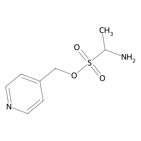 CC(N)S(=O)(=O)OCc1ccncc1